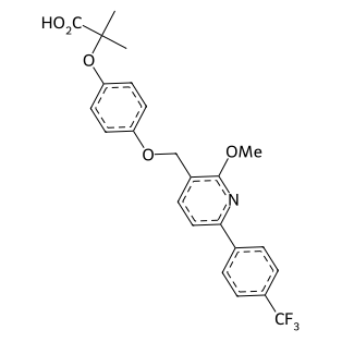 COc1nc(-c2ccc(C(F)(F)F)cc2)ccc1COc1ccc(OC(C)(C)C(=O)O)cc1